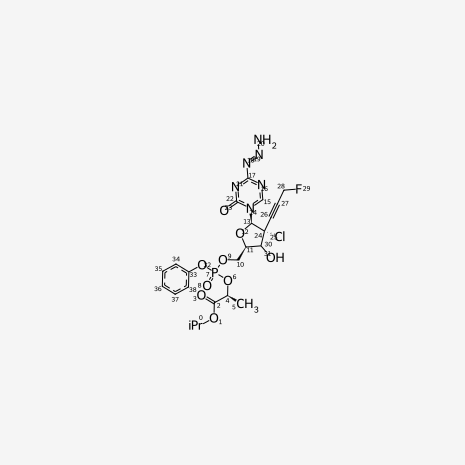 CC(C)OC(=O)[C@H](C)OP(=O)(OC[C@H]1O[C@@H](n2cnc(N=NN)nc2=O)[C@@](Cl)(C#CCF)C1O)Oc1ccccc1